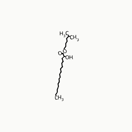 CCCCCCCCCCCCCCCCC(O)C(=O)OCCCCCC(C)C